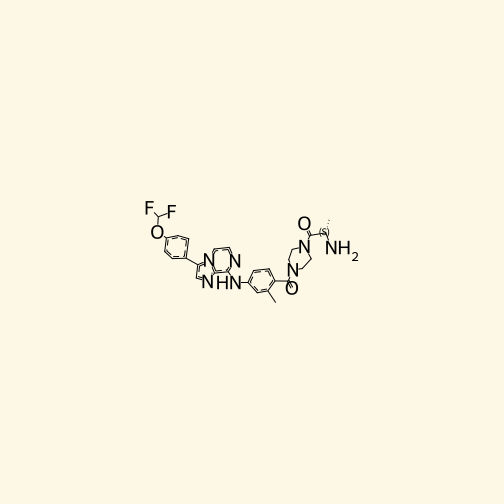 Cc1cc(Nc2nccn3c(-c4ccc(OC(F)F)cc4)cnc23)ccc1C(=O)N1CCN(C(=O)[C@H](C)N)CC1